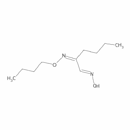 CCCCON=C(C=NO)CCCC